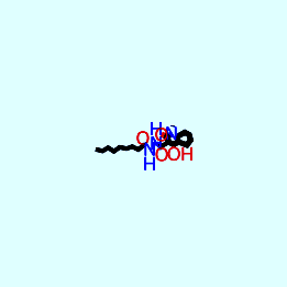 CCCCCCCCC(=O)NNC(=O)c1c(O)c2ccccc2n(C)c1=O